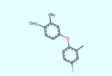 CCCCc1cc(Oc2ccc(F)cc2C)ccc1C=O